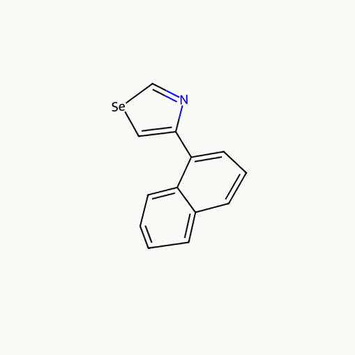 c1ccc2c(-c3c[se]cn3)cccc2c1